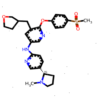 CN1CCC[C@H]1c1ccc(Nc2cnc(Oc3ccc(S(C)(=O)=O)cc3)c(CC3CCOC3)c2)nc1